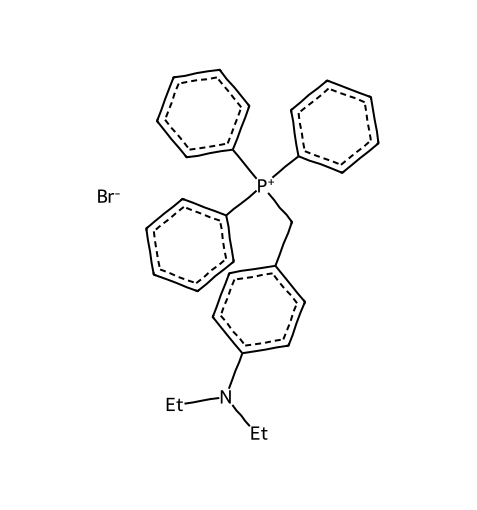 CCN(CC)c1ccc(C[P+](c2ccccc2)(c2ccccc2)c2ccccc2)cc1.[Br-]